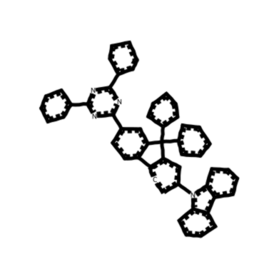 c1ccc(-c2nc(-c3ccccc3)nc(-c3ccc4c(c3)C(c3ccccc3)(c3ccccc3)c3cc(-n5c6ccccc6c6ccccc65)ccc3-4)n2)cc1